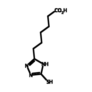 O=C(O)CCCCCc1nnc(S)[nH]1